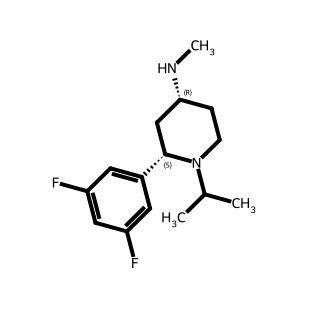 CN[C@@H]1CCN(C(C)C)[C@H](c2cc(F)cc(F)c2)C1